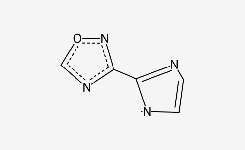 C1=CN=C(c2ncon2)[N]1